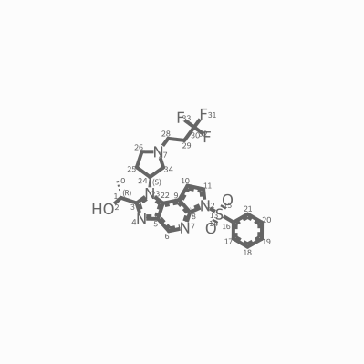 C[C@@H](O)c1nc2cnc3c(ccn3S(=O)(=O)c3ccccc3)c2n1[C@H]1CCN(CCC(F)(F)F)C1